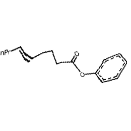 CCCC=CCCC(=O)Oc1ccccc1